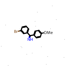 COc1ccc(C(=N)c2cccc(Br)c2)cc1